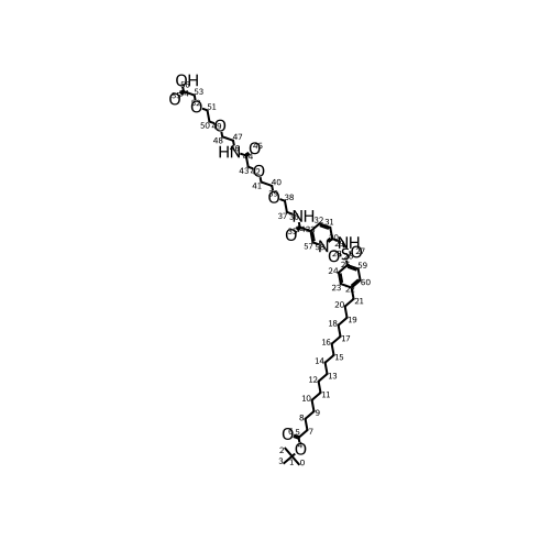 CC(C)(C)OC(=O)CCCCCCCCCCCCCCCc1ccc(S(=O)(=O)Nc2ccc(C(=O)NCCOCCOCC(=O)NCCOCCOCC(=O)O)cn2)cc1